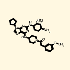 COc1cccc(CC(=O)N2CCC(Nc3nc(NC4CCC(N)CC4)nc4c3ncn4C3CCCC3)CC2)c1.Cl.Cl